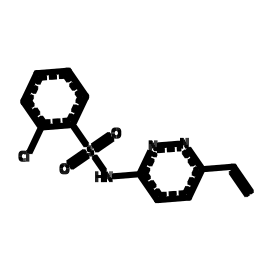 C=Cc1ccc(NS(=O)(=O)c2ccccc2Cl)nn1